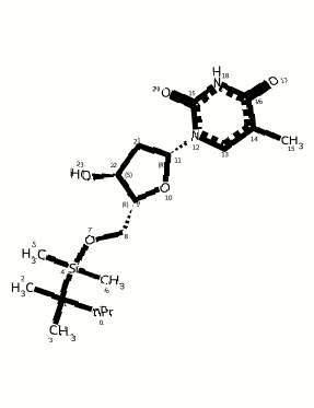 CCCC(C)(C)[Si](C)(C)OC[C@H]1O[C@@H](n2cc(C)c(=O)[nH]c2=O)C[C@@H]1O